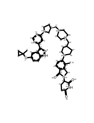 CC1(Oc2ccc3[nH]nc(-c4cc(N5CC[C@@H](CN6CCN(CC7CCN(c8ccc9c(c8F)CN(C8CCC(=O)NC8=O)C9=O)CC7)CC6)C5)ncn4)c3c2)CC1